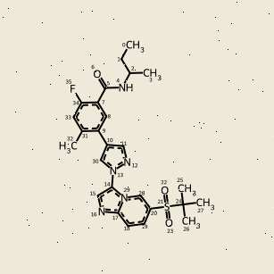 CCC(C)NC(=O)c1cc(-c2cnn(-c3cnc4ccc(S(=O)(=O)C(C)(C)C)cn34)c2)c(C)cc1F